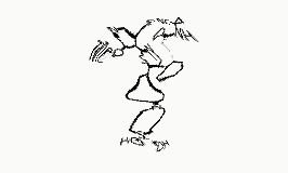 COc1cncc(F)c1-c1nc([C@@H]2CCCC[C@H]2C(=O)NC2(C#N)CC2)c(-c2ccc(N3CCS(O)(O)CC3)cc2)s1